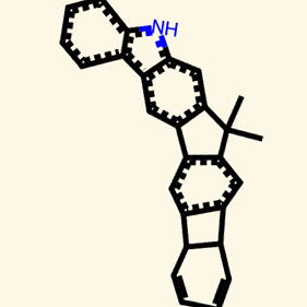 CC1(C)c2cc3c(cc2-c2cc4c(cc21)[nH]c1ccccc14)C1C=CC=CC31